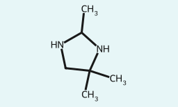 CC1NCC(C)(C)N1